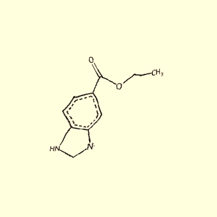 CCOC(=O)c1ccc2c(c1)[N]CN2